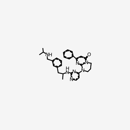 CC(C)NCc1cccc(CC(C)Nc2nccc(N3CCCn4c3nc(-c3ccccc3)cc4=O)n2)c1